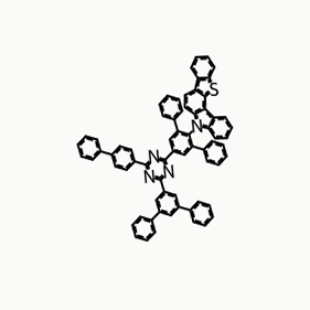 c1ccc(-c2ccc(-c3nc(-c4cc(-c5ccccc5)cc(-c5ccccc5)c4)nc(-c4cc(-c5ccccc5)c(-n5c6ccccc6c6c7sc8ccccc8c7ccc65)c(-c5ccccc5)c4)n3)cc2)cc1